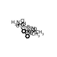 CCCCc1nc(Cl)c(C(N)=O)n1Cc1ccc(-c2ccccc2S(=O)(=O)Nc2noc(C)c2C)cc1